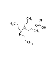 CCCN=C(CCC)N(CCC)CCC.O=C(O)O